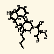 CCCCN1C[C@H](C(=O)N(CC)CC)C=C2c3cccc4[nH]cc(c34)C[C@H]21